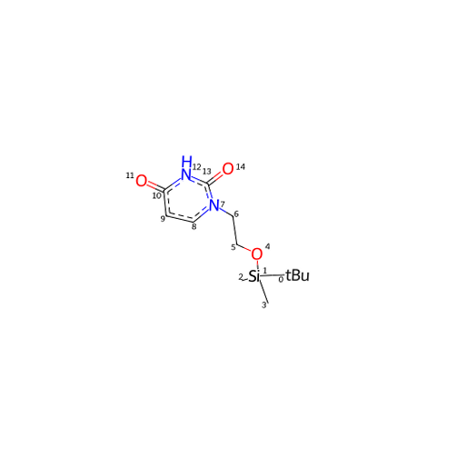 CC(C)(C)[Si](C)(C)OCCn1ccc(=O)[nH]c1=O